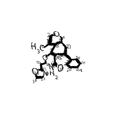 CC1=COCC2=C1C(OCCc1ncco1)C(C(N)=O)C(c1ccccc1)C2